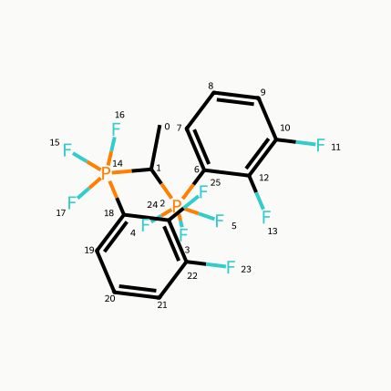 CC(P(F)(F)(F)c1cccc(F)c1F)P(F)(F)(F)c1cccc(F)c1F